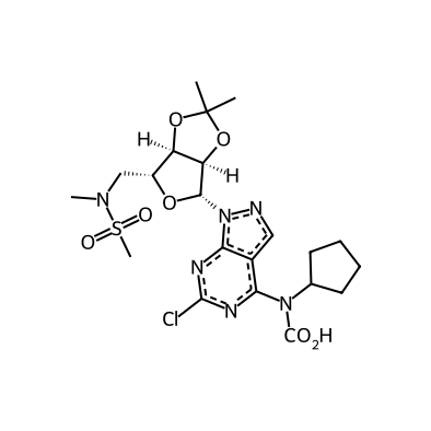 CN(C[C@H]1O[C@@H](n2ncc3c(N(C(=O)O)C4CCCC4)nc(Cl)nc32)[C@@H]2OC(C)(C)O[C@@H]21)S(C)(=O)=O